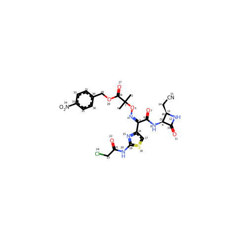 CC(C)(ON=C(C(=O)N[C@@H]1C(=O)N[C@@H]1CC#N)c1csc(NC(=O)CCl)n1)C(=O)OCc1ccc([N+](=O)[O-])cc1